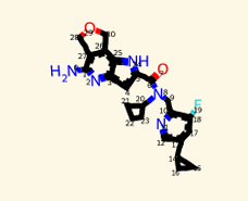 Nc1nc2cc(C(=O)N(Cc3ncc(C4CC4)cc3F)C3CCC3)[nH]c2c2c1COC2